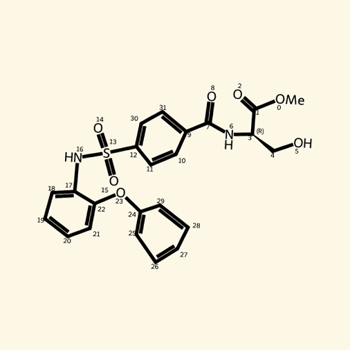 COC(=O)[C@@H](CO)NC(=O)c1ccc(S(=O)(=O)Nc2ccccc2Oc2ccccc2)cc1